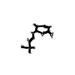 Cc1cnc(Cl)nc1OCC[Si](C)(C)C